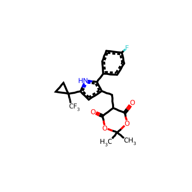 CC1(C)OC(=O)C(Cc2cc(C3(C(F)(F)F)CC3)[nH]c2-c2ccc(F)cc2)C(=O)O1